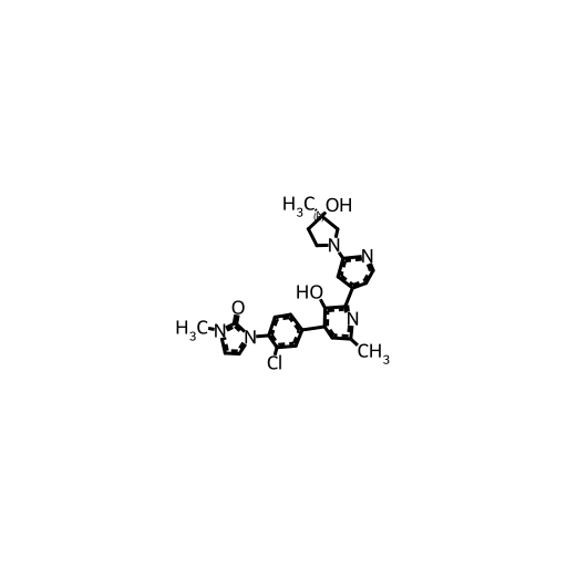 Cc1cc(-c2ccc(-n3ccn(C)c3=O)c(Cl)c2)c(O)c(-c2ccnc(N3CC[C@@](C)(O)C3)c2)n1